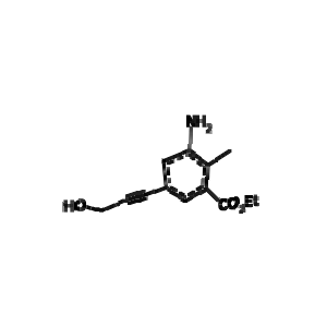 CCOC(=O)c1cc(C#CCO)cc(N)c1C